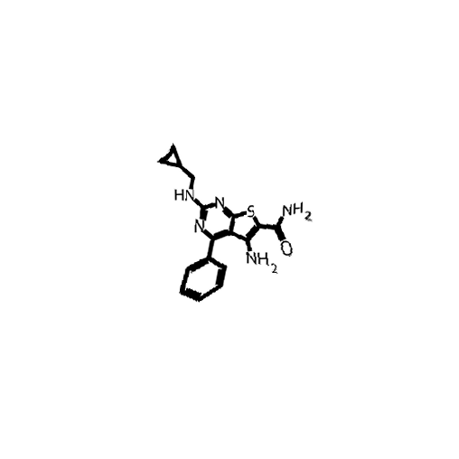 NC(=O)c1sc2nc(NCC3CC3)nc(-c3ccccc3)c2c1N